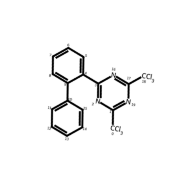 ClC(Cl)(Cl)c1nc(-c2ccccc2-c2ccccc2)nc(C(Cl)(Cl)Cl)n1